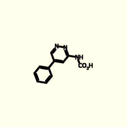 O=C(O)Nc1cc(-c2ccccc2)cnn1